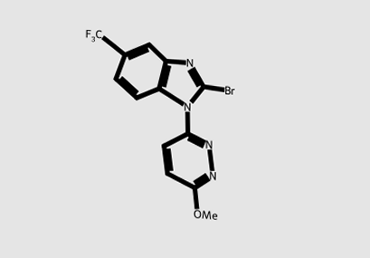 COc1ccc(-n2c(Br)nc3cc(C(F)(F)F)ccc32)nn1